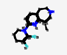 C[C@H]1CNCCc2ccc(N3CCCC(F)C3F)nc21